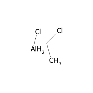 CCCl.[AlH2][Cl]